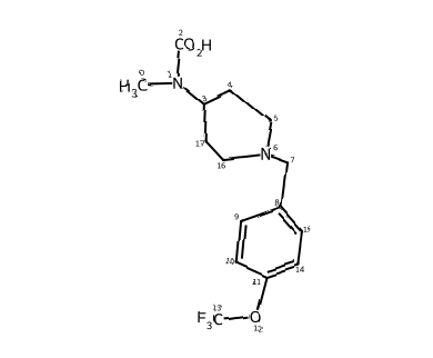 CN(C(=O)O)C1CCN(Cc2ccc(OC(F)(F)F)cc2)CC1